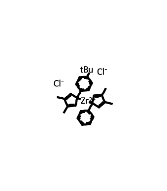 CC1=C[C]([Zr+2][C]2(c3ccc(C(C)(C)C)cc3)C=C(C)C(C)=C2)(c2ccccc2)C=C1C.[Cl-].[Cl-]